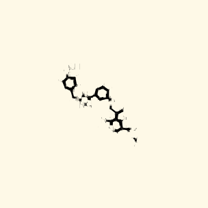 CCOC(=O)c1cnc(N)c2c(COc3cccc(-c4nnn(Cc5ccc(OC)cc5)n4)c3)csc12